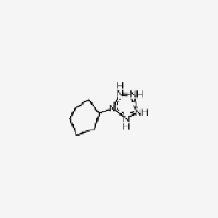 C1CC[C](n2[nH][nH][nH][nH]2)CC1